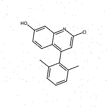 Cc1cccc(C)c1-c1cc(Cl)nc2cc(O)ccc12